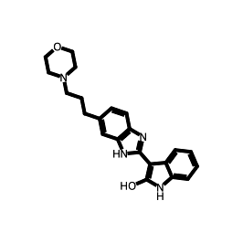 Oc1[nH]c2ccccc2c1-c1nc2ccc(CCCN3CCOCC3)cc2[nH]1